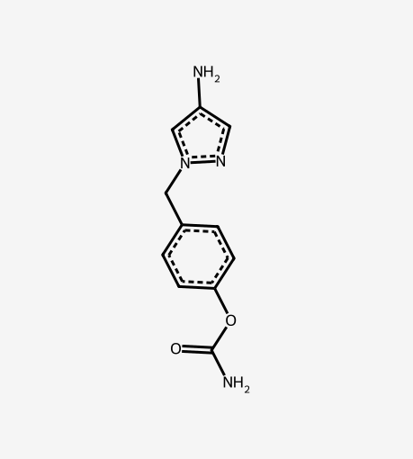 NC(=O)Oc1ccc(Cn2cc(N)cn2)cc1